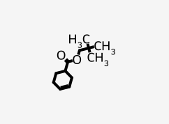 CC(C)(C)COC(=O)C1CC=CCC1